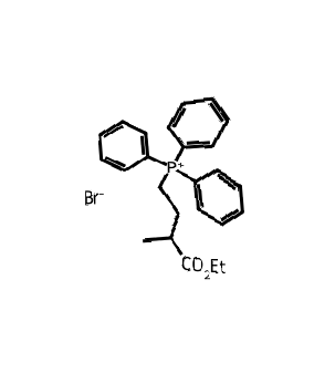 CCOC(=O)C(C)CC[P+](c1ccccc1)(c1ccccc1)c1ccccc1.[Br-]